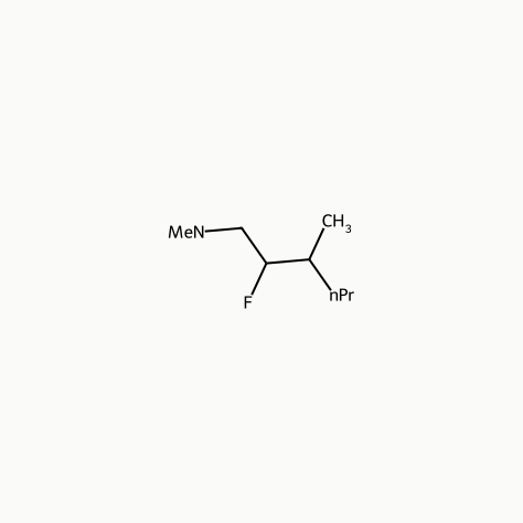 CCCC(C)C(F)CNC